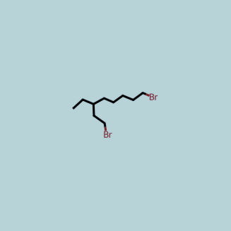 CCC(CCBr)CCCCCBr